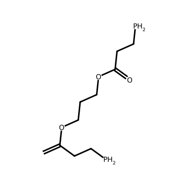 C=C(CCP)OCCCOC(=O)CCP